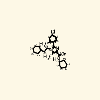 Cc1cc(Cl)ccc1-c1nc(C(=O)NC2CCCCC2)c(C)n1CCC1CCCCC1